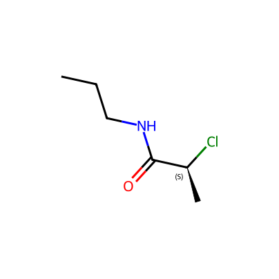 CCCNC(=O)[C@H](C)Cl